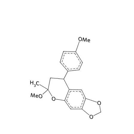 COc1ccc(C2CC(C)(OC)Oc3cc4c(cc32)OCO4)cc1